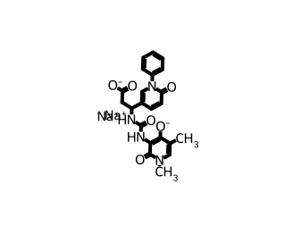 Cc1cn(C)c(=O)c(NC(=O)NC(CC(=O)[O-])c2ccc(=O)n(-c3ccccc3)c2)c1[O-].[Na+].[Na+]